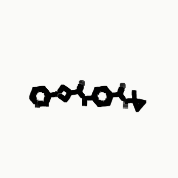 CC1(NC(=O)c2ccc(NC(=O)C3CN(c4cccnn4)C3)cc2)CC1